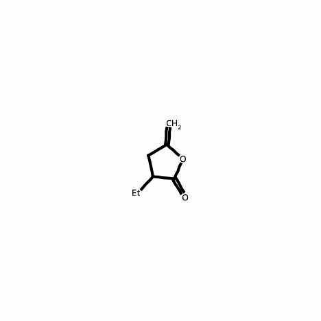 C=C1CC(CC)C(=O)O1